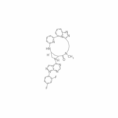 CN1CCCc2nnc3cccc(n23)-c2cccc(n2)N[C@H]2C[C@@H](C1=O)N(c1ncnc3c1cnn3-c1ccc(F)cc1F)C2